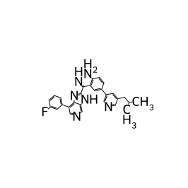 CC(C)Cc1cncc(-c2ccc(N)c(C(=N)c3nc4c(-c5cccc(F)c5)cncc4[nH]3)c2)c1